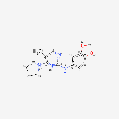 Cc1cnc(Nc2ccc3c(c2)OCO3)nc1N1CCCC1